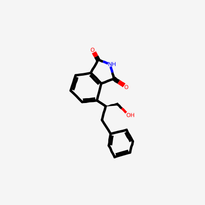 O=C1NC(=O)c2c1cccc2[C@@H](CO)Cc1ccccc1